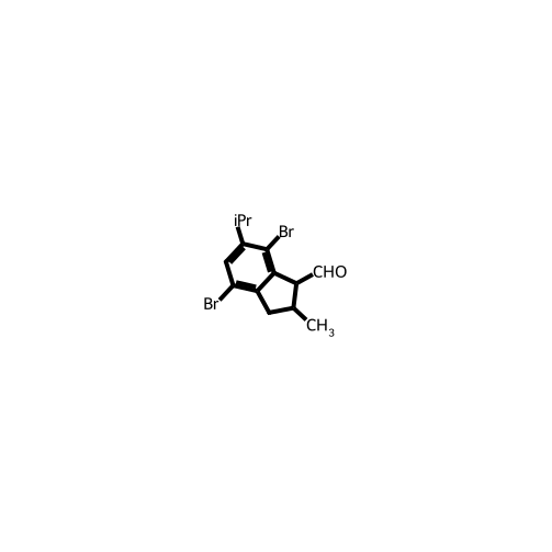 CC(C)c1cc(Br)c2c(c1Br)C(C=O)C(C)C2